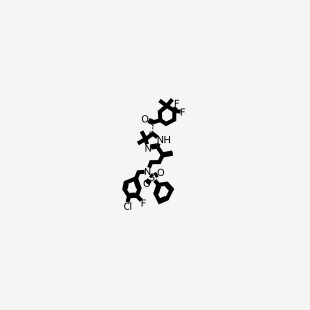 C=C(CCN(Cc1ccc(Cl)c(F)c1)S(=O)(=O)c1ccccc1)C1=NC(C)(C)[C@H](C(=O)C2CCC(F)(F)C(C)(C)C2)N1